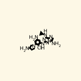 Nc1cc(Nc2nc(NC3CC3)c3ncc(N)n3n2)c(Cl)c(N2CC[C@@H](N)C2)c1